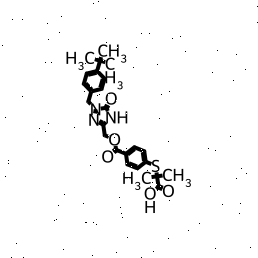 CC(C)(Sc1ccc(C(=O)OCc2nn(Cc3ccc(C(C)(C)C)cc3)c(=O)[nH]2)cc1)C(=O)O